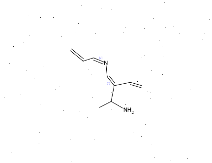 C=C/C=N\C=C(/C=C)C(C)N